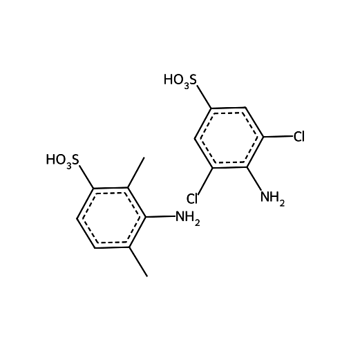 Cc1ccc(S(=O)(=O)O)c(C)c1N.Nc1c(Cl)cc(S(=O)(=O)O)cc1Cl